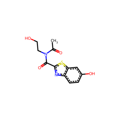 CC(=O)N(CCO)C(=O)c1nc2ccc(O)cc2s1